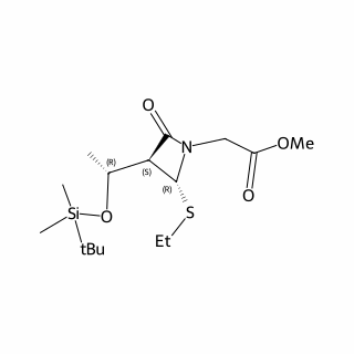 CCS[C@@H]1[C@@H]([C@@H](C)O[Si](C)(C)C(C)(C)C)C(=O)N1CC(=O)OC